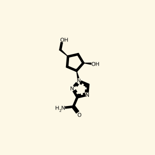 NC(=O)c1ncn([C@H]2C[C@@H](CO)C[C@H]2O)n1